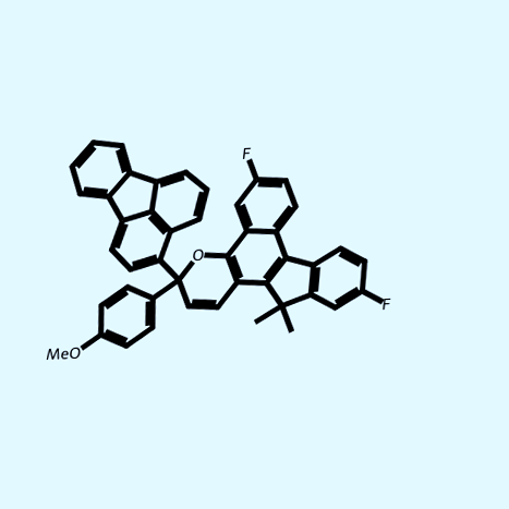 COc1ccc(C2(c3ccc4c5c(cccc35)-c3ccccc3-4)C=Cc3c4c(c5ccc(F)cc5c3O2)-c2ccc(F)cc2C4(C)C)cc1